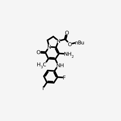 CCCCOC(=O)N1CCn2c1c(N)c(Nc1ccc(I)cc1F)c(C)c2=O